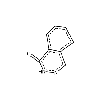 O=c1[nH]n[c]c2ccccc12